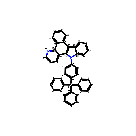 c1ccc([Si](c2ccccc2)(c2ccccc2)c2ccc(-n3c4ccccc4c4c5ccccc5c5ncccc5c43)cc2)cc1